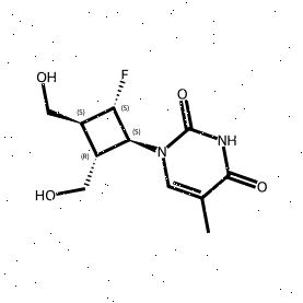 Cc1cn([C@@H]2[C@@H](F)[C@H](CO)[C@H]2CO)c(=O)[nH]c1=O